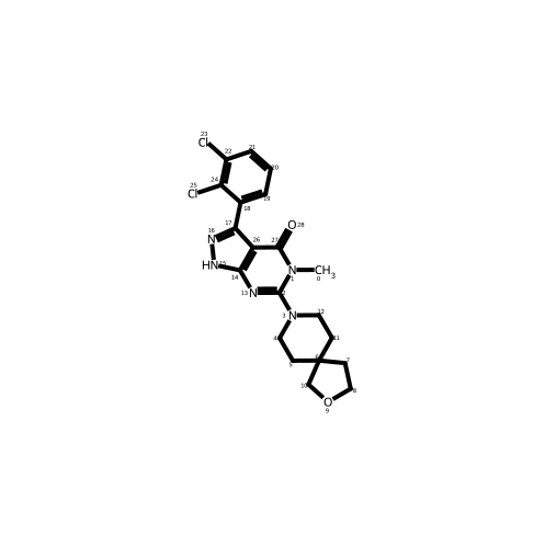 Cn1c(N2CCC3(CCOC3)CC2)nc2[nH]nc(-c3cccc(Cl)c3Cl)c2c1=O